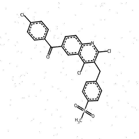 CS(=O)(=O)c1ccc(Cc2c(Cl)nc3ccc(C(=O)c4ccc(Cl)cc4)cc3c2Cl)cc1